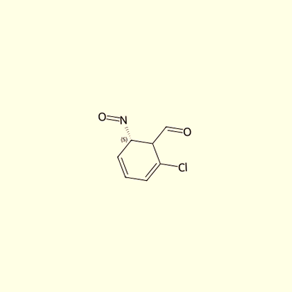 O=CC1C(Cl)=CC=C[C@@H]1N=O